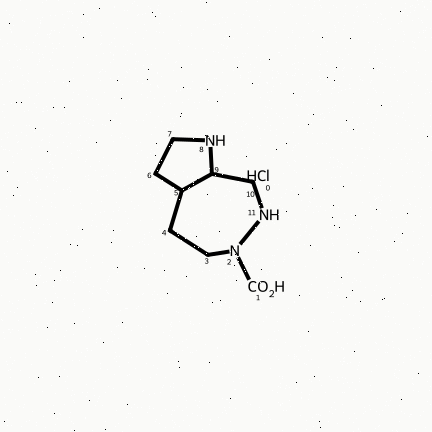 Cl.O=C(O)N1CCC2CCNC2CN1